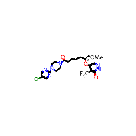 COC[C@H](CCCCC(=O)N1CCN(c2ncc(Cl)cn2)CC1)Oc1cn[nH]c(=O)c1C(F)(F)F